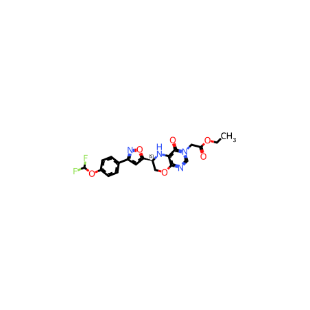 CCOC(=O)Cn1cnc2c(c1=O)N[C@H](c1cc(-c3ccc(OC(F)F)cc3)no1)CO2